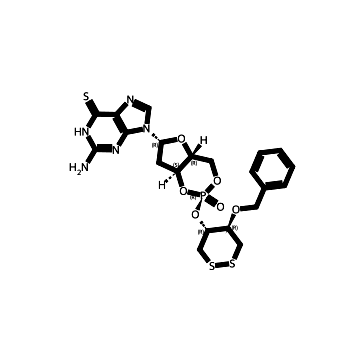 Nc1nc2c(ncn2[C@H]2C[C@@H]3O[P@](=O)(O[C@H]4CSSC[C@@H]4OCc4ccccc4)OC[C@H]3O2)c(=S)[nH]1